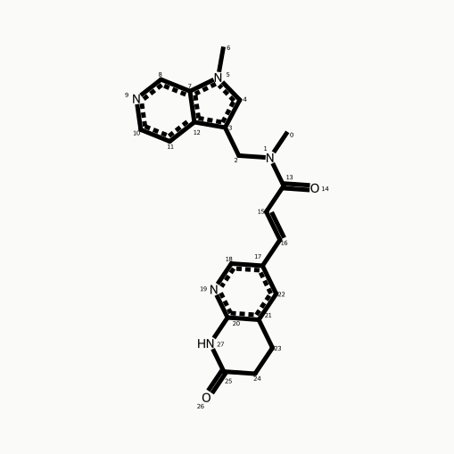 CN(Cc1cn(C)c2cnccc12)C(=O)/C=C/c1cnc2c(c1)CCC(=O)N2